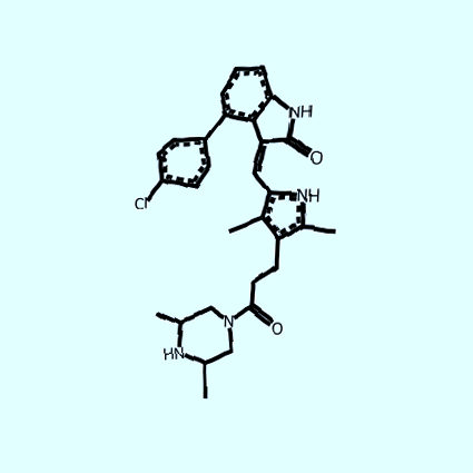 Cc1[nH]c(C=C2C(=O)Nc3cccc(-c4ccc(Cl)cc4)c32)c(C)c1CCC(=O)N1CC(C)NC(C)C1